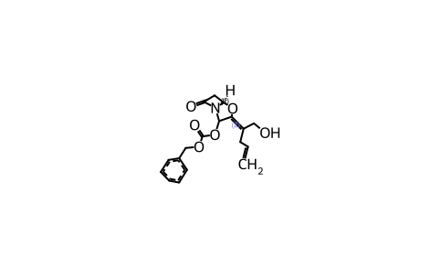 C=CC/C(CO)=C1/O[C@@H]2CC(=O)N2C1OC(=O)OCc1ccccc1